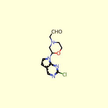 O=CCN1CCOC(n2ccc3cnc(Cl)nc32)C1